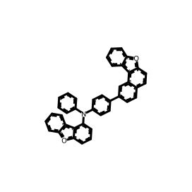 c1ccc(N(c2ccc(-c3ccc4ccc5oc6ccccc6c5c4c3)cc2)c2cccc3oc4ccccc4c23)cc1